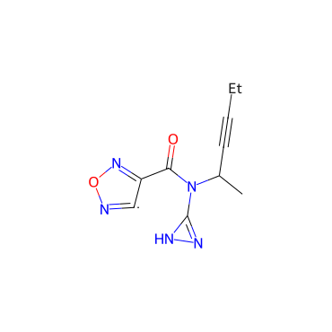 CCC#CC(C)N(C(=O)c1[c]non1)C1=NN1